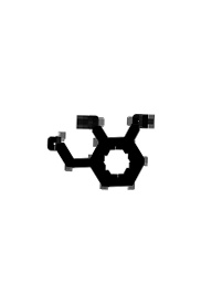 Oc1cccc(CCl)c1O